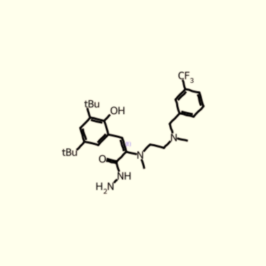 CN(CCN(C)/C(=C/c1cc(C(C)(C)C)cc(C(C)(C)C)c1O)C(=O)NN)Cc1cccc(C(F)(F)F)c1